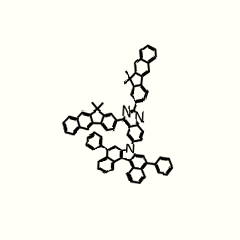 CC1(C)c2cc(-c3nc(-c4ccc5c(c4)C(C)(C)c4cc6ccccc6cc4-5)c4cc(-n5c6cc(-c7ccccc7)c7ccccc7c6c6c7ccccc7c(-c7ccccc7)cc65)ccc4n3)ccc2-c2cc3ccccc3cc21